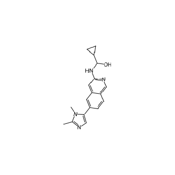 Cc1ncc(-c2ccc3cnc(NC(O)C4CC4)cc3c2)n1C